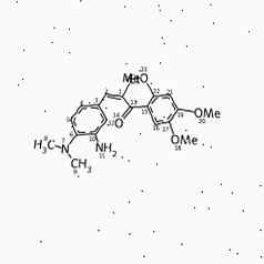 CCC(=Cc1ccc(N(C)C)c(N)c1)C(=O)c1cc(OC)c(OC)cc1OC